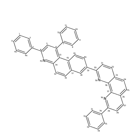 c1ccc(-c2cc(-c3ccccc3)c3c(ccc4cc(-c5ccc6ccc7ccc(-c8ccccc8)nc7c6n5)ccc43)n2)cc1